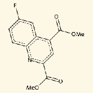 COC(=O)c1cc(C(=O)OC)c2cc(F)ccc2n1